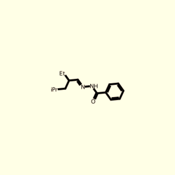 CCC(/C=N/NC(=O)c1ccccc1)CC(C)C